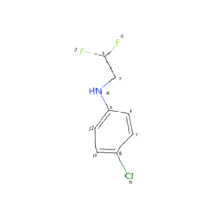 FC(F)CNc1ccc(Cl)cc1